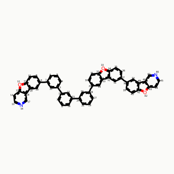 c1cc(-c2cccc(-c3ccc4oc5ccncc5c4c3)c2)cc(-c2cccc(-c3ccc4oc5ccc(-c6ccc7oc8ccncc8c7c6)cc5c4c3)c2)c1